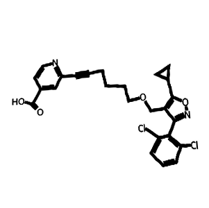 O=C(O)c1ccnc(C#CCCCCOCc2c(-c3c(Cl)cccc3Cl)noc2C2CC2)c1